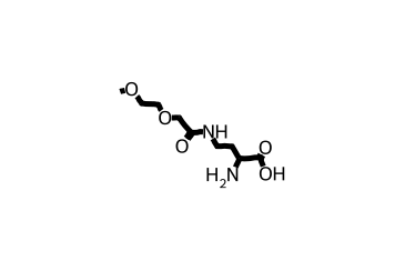 COCCOCC(=O)NCCC(N)C(=O)O